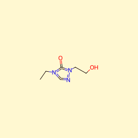 CCn1cnn(CCO)c1=O